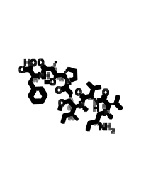 CC[C@@H](N)CN(C)[C@H](C(=O)N[C@H](C(=O)N(C)[C@@H]([C@@H](C)CC)[C@@H](CC(=O)N1CCC[C@H]1[C@H](OC)[C@@H](C)C(=O)N[C@@H](Cc1ccccc1)C(=O)O)OC)C(C)C)C(C)C